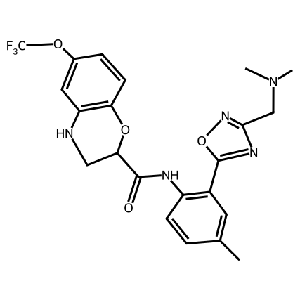 Cc1ccc(NC(=O)C2CNc3cc(OC(F)(F)F)ccc3O2)c(-c2nc(CN(C)C)no2)c1